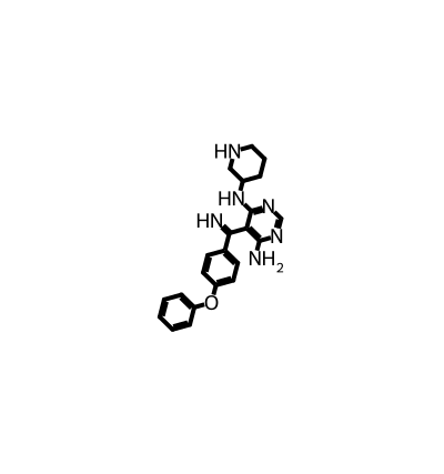 N=C(c1ccc(Oc2ccccc2)cc1)c1c(N)ncnc1NC1CCCNC1